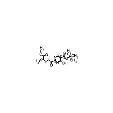 COC(=O)C(C)CNC(=O)c1ncc(C(=O)OC(C)(C)C)c(O)n1